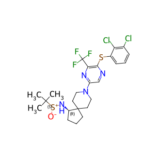 CC(C)(C)[S@@+]([O-])N[C@@H]1CCCC12CCN(c1cnc(Sc3cccc(Cl)c3Cl)c(C(F)(F)F)n1)CC2